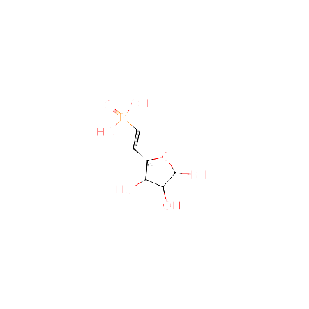 B[C@@H]1O[C@H](/C=C/P(=O)(O)O)C(O)C1O